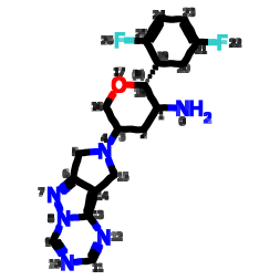 NC1CC(N2Cc3nn4cncnc4c3C2)CO[C@@H]1C1CC(F)=CC=C1F